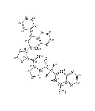 C[C@@H](NC(=O)C(F)(F)C(=O)C1CCCN1C(=O)[C@H]1CCCN1C(=O)CC(c1ccccc1)c1ccccc1)c1ccccc1